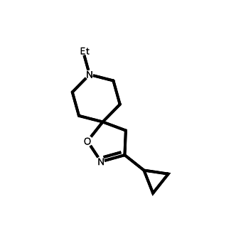 CCN1CCC2(CC1)CC(C1CC1)=NO2